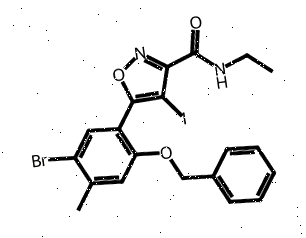 CCNC(=O)c1noc(-c2cc(Br)c(C)cc2OCc2ccccc2)c1I